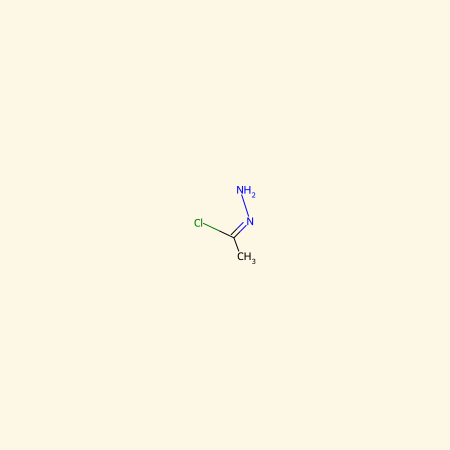 CC(Cl)=NN